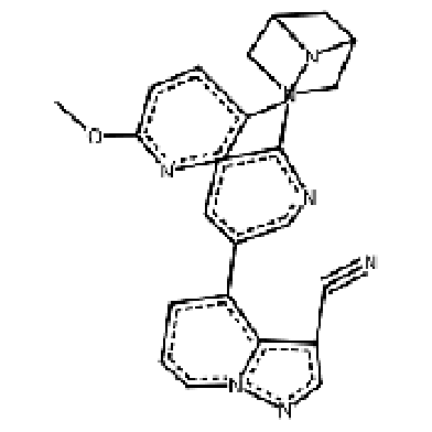 COc1ccc(CN2C3CC2CN(c2ccc(-c4cccn5ncc(C#N)c45)cn2)C3)cn1